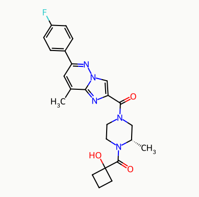 Cc1cc(-c2ccc(F)cc2)nn2cc(C(=O)N3CCN(C(=O)C4(O)CCC4)[C@@H](C)C3)nc12